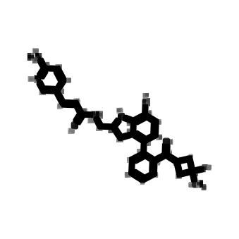 CC1(F)CC(C(=O)c2ccccc2-c2ccc(Cl)c3c2CC(CNC(=O)/C=C/c2ccc(N)nc2)O3)C1